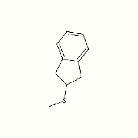 CSC1Cc2ccccc2C1